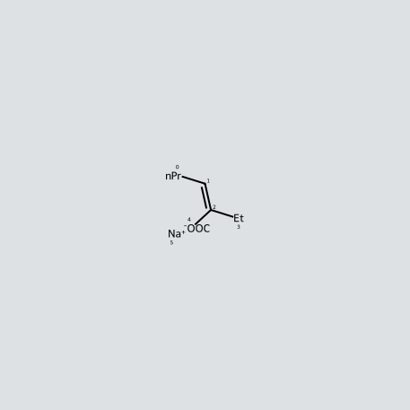 CCCC=C(CC)C(=O)[O-].[Na+]